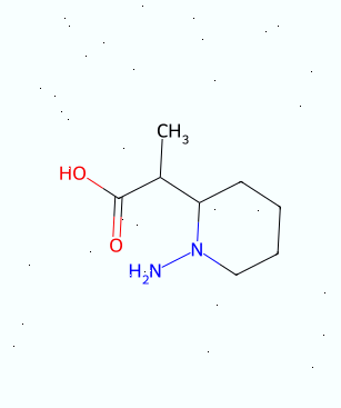 CC(C(=O)O)C1CCCCN1N